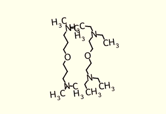 CCN(CC)CCOCCN(CC)CC.CN(C)CCCOCCCN(C)C